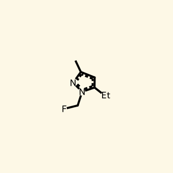 CCc1cc(C)nn1CF